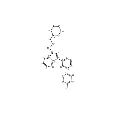 Clc1ccc(-c2cncc(-c3cn(CCCN4CCCCC4)c4ccccc34)c2)cc1